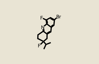 CC(C)C1(F)CCc2nc3c(F)cc(Br)cc3cc2C1